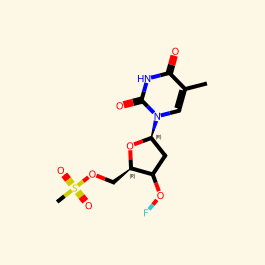 Cc1cn([C@H]2CC(OF)[C@@H](COS(C)(=O)=O)O2)c(=O)[nH]c1=O